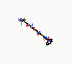 O=C(CCCCC1SCC2NC(=O)NC21)NCCOCCOCCOCCNC(=O)CCSSCCNC(=O)CCC(=O)N1Cc2ccccc2C#Cc2ccccc21